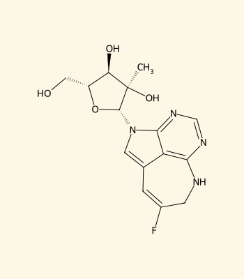 C[C@@]1(O)[C@H](O)[C@@H](CO)O[C@H]1n1cc2c3c(ncnc31)NCC(F)=C2